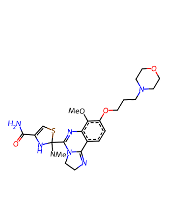 CNC1(C2=Nc3c(ccc(OCCCN4CCOCC4)c3OC)C3=NCCN32)NC(C(N)=O)=CS1